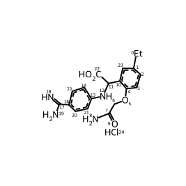 CCc1ccc(OCC(N)=O)c(C(Nc2ccc(C(=N)N)cc2)C(=O)O)c1.Cl